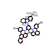 CC(C)(C)c1ccc(N2c3cc(-c4ccccc4)ccc3B3c4ccc(C(C)(C)C)cc4N(c4ccc(C(C)(C)C)cc4-c4ccccc4)c4cc(N5c6ccc([Si](C)(C)C)cc6C6(C)CCCCC56C)cc2c43)c(-c2ccccc2)c1